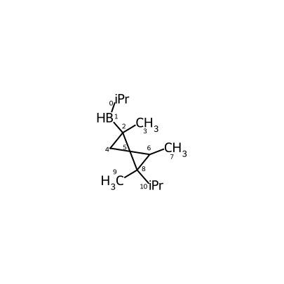 CC(C)BC1(C)CC12C(C)C2(C)C(C)C